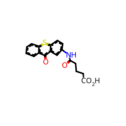 O=C(O)CCCC(=O)Nc1ccc2sc3ccccc3c(=O)c2c1